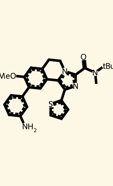 COc1cc2c(cc1-c1cccc(N)c1)-c1c(-c3cccs3)nc(C(=O)N(C)C(C)(C)C)n1CC2